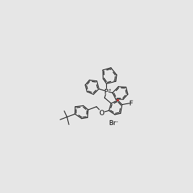 CC(C)(C)c1ccc(COc2ccc(F)cc2C[P+](c2ccccc2)(c2ccccc2)c2ccccc2)cc1.[Br-]